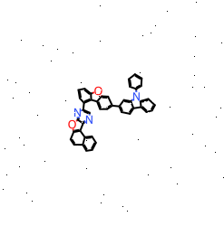 c1ccc(-n2c3ccccc3c3ccc(-c4ccc5c(c4)oc4cccc(-c6cnc7c(n6)oc6ccc8ccccc8c67)c45)cc32)cc1